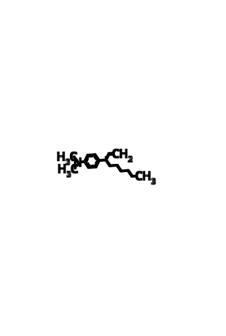 C=C[C](CCCCCC)c1ccc(N(C)C)cc1